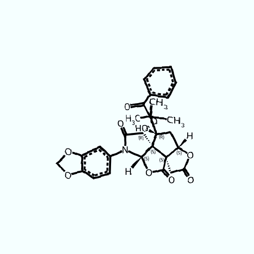 CC(C)(C)[C@]1(O)C[C@@H]2OC(=O)C[C@@]23C(=O)O[C@@H]2N(c4ccc5c(c4)OCO5)C(=O)[C@H](OC(=O)c4ccccc4)[C@]213